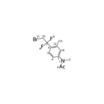 CC(=O)N(C)c1ccc(C(F)(F)CBr)c(C)c1